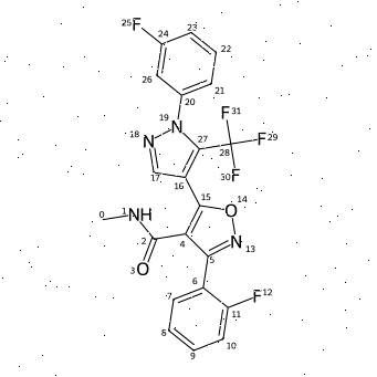 CNC(=O)c1c(-c2ccccc2F)noc1-c1cnn(-c2cccc(F)c2)c1C(F)(F)F